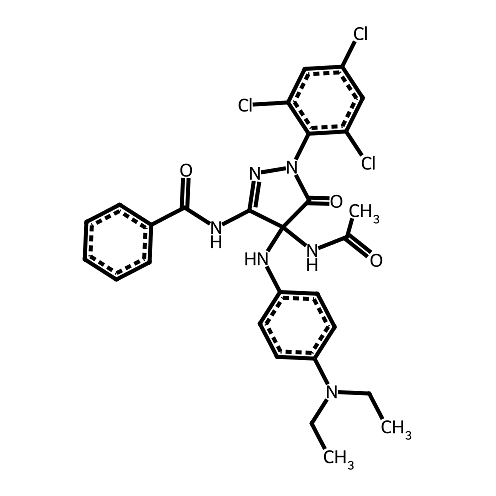 CCN(CC)c1ccc(NC2(NC(C)=O)C(=O)N(c3c(Cl)cc(Cl)cc3Cl)N=C2NC(=O)c2ccccc2)cc1